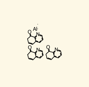 O=C1CC=Cc2cccnc21.O=C1CC=Cc2cccnc21.O=C1CC=Cc2cccnc21.[Al]